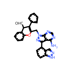 Nc1ncnc2c1c(-c1cccc3[nH]ncc13)nn2CC1=C(c2ccccc2)C(C=O)c2ccccc2O1